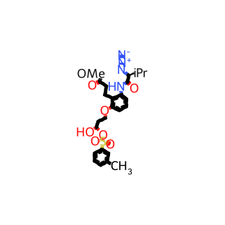 COC(=O)CCc1c(NC(=O)[C@@H](N=[N+]=[N-])C(C)C)cccc1OCCC(O)OS(=O)(=O)c1cccc(C)c1